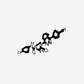 CC1CN(C(=O)Nc2ccc(Cl)cc2)CCN1c1nnc(-c2ccc(C#N)cc2)c2ccccc12.Cl